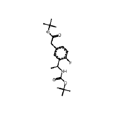 CC(NC(=O)OC(C)(C)C)c1cc(CC(=O)OC(C)(C)C)ccc1F